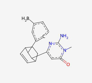 Bc1cccc(C2C3C=CC(CC3)C2c2cc(=O)n(C)c(N)n2)c1